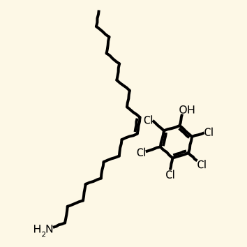 CCCCCCCC/C=C\CCCCCCCCN.Oc1c(Cl)c(Cl)c(Cl)c(Cl)c1Cl